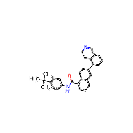 CC(C)(C)c1ccc(NC(=O)c2cccc3cc(-c4cccc5cnccc45)ccc23)cc1